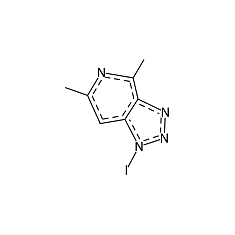 Cc1cc2c(nnn2I)c(C)n1